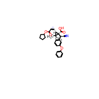 CC1(C)[C@H](/C=C\C(=O)OC2CCCC2)[C@@]1(C(=O)O)[C@@H](C#N)c1cccc(Oc2ccccc2)c1